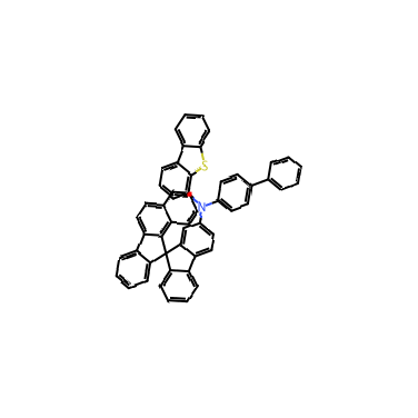 c1ccc(-c2ccc(N(c3ccc4c(c3)C3(c5ccccc5-4)c4ccccc4-c4ccc5ccccc5c43)c3cccc4c3sc3ccccc34)cc2)cc1